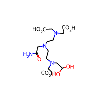 NC(=O)CN(CCN(CC(=O)O)CC(=O)O)CCN(CC(=O)O)CC(O)O